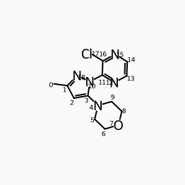 Cc1cc(N2CCOCC2)n(-c2nccnc2Cl)n1